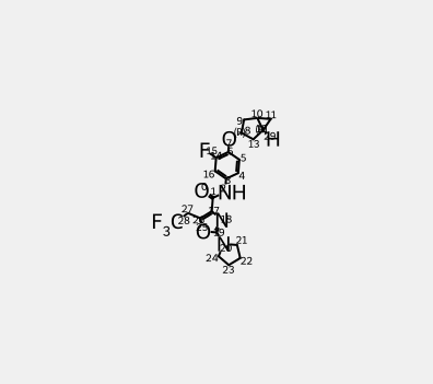 O=C(Nc1ccc(O[C@@H]2CC3C[C@@H]3C2)c(F)c1)c1nc(N2CCCC2)oc1CC(F)(F)F